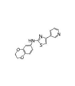 c1cncc(-c2csc(Nc3ccc4c(c3)OCCO4)n2)c1